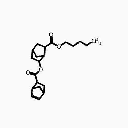 CCCCCOC(=O)C1CC2CC(OC(=O)C3CC4C=CC3C4)C1C2